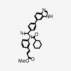 [2H]C(c1ccc(-c2ccc3nc[nH]c3c2)cc1)N(C(=O)C1CCCCC1)c1cccc(/C=C/C(=O)OC)c1